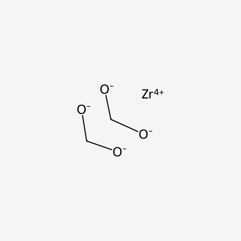 [O-]C[O-].[O-]C[O-].[Zr+4]